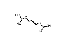 OP(O)OCCCOP(O)O